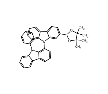 CC1(C)OB(c2ccc3c4ccccc4n(-c4cccc5c6ccccc6n(-c6ccccc6)c45)c3c2)OC1(C)C